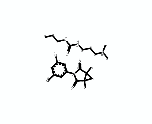 CC12CC1(C)C(=O)N(c1cc(Cl)cc(Cl)c1)C2=O.CCCOC(=O)NCCCN(C)C